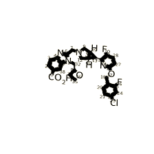 O=C(O)c1ccc2nc(CN3C[C@@H]4[C@H](C3)[C@H]4c3nc(OCc4ccc(Cl)cc4F)ccc3F)n(C[C@@H]3CCO3)c2c1